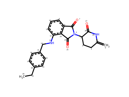 C=C1CCC(N2C(=O)c3cccc(NCc4ccc(CC)cc4)c3C2=O)C(=O)N1